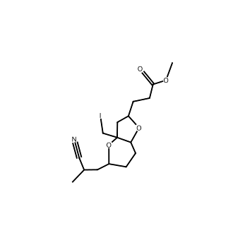 COC(=O)CCC1CC2(CI)OC(CC(C)C#N)CCC2O1